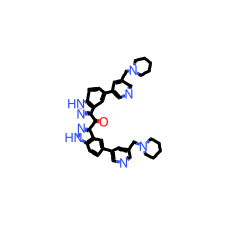 O=C(c1n[nH]c2ccc(-c3cncc(CN4CCCCC4)c3)cc12)c1n[nH]c2ccc(-c3cncc(CN4CCCCC4)c3)cc12